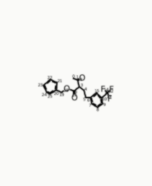 CC(=O)C(CCc1cccc(C(F)(F)F)c1)C(=O)OCc1ccccc1